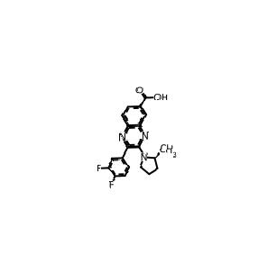 C[C@H]1CCCN1c1nc2cc(C(=O)O)ccc2nc1-c1ccc(F)c(F)c1